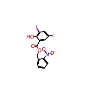 O=C(OCc1ccccc1[N+](=O)[O-])c1cc(I)cc(I)c1O